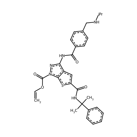 C=COC(=O)n1nc(NC(=O)c2ccc(CNC(C)C)cc2)c2cc(C(=O)NC(C)(C)c3ccccc3)sc21